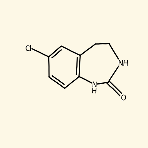 O=C1NCCc2cc(Cl)ccc2N1